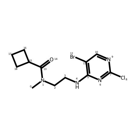 CN(CCNc1nc(Cl)ncc1Br)C(=O)C1CCC1